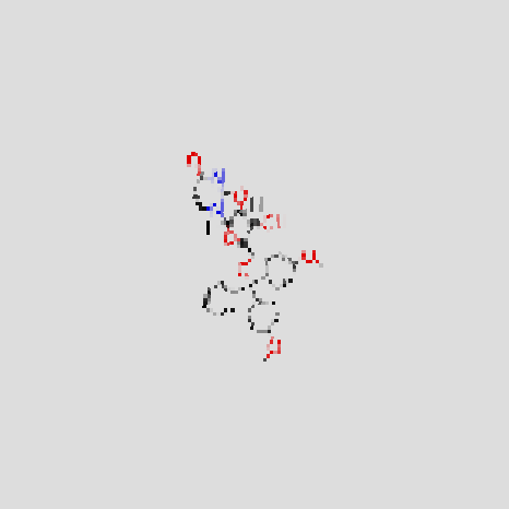 COc1ccc(C(OC[C@H]2O[C@@H]3[C@@H](Oc4nc(=O)ccn43)[C@@H]2O)(c2ccccc2)c2ccc(OC)cc2)cc1